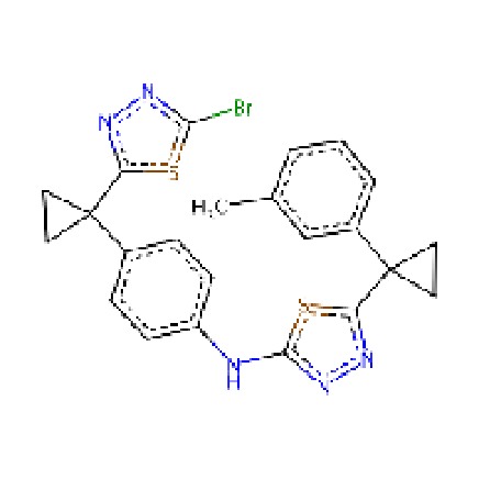 Cc1cccc(C2(c3nnc(Nc4ccc(C5(c6nnc(Br)s6)CC5)cc4)s3)CC2)c1